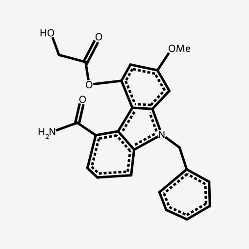 COc1cc(OC(=O)CO)c2c3c(C(N)=O)cccc3n(Cc3ccccc3)c2c1